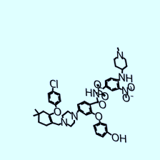 CN1CCC(Nc2ccc(S(=O)(=O)NC(=O)c3ccc(N4CCN(CC5=C(Oc6ccc(Cl)cc6)CC(C)(C)CC5)CC4)cc3Oc3cccc(O)c3)cc2[N+](=O)[O-])CC1